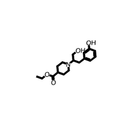 CCOC(=O)C1CCN(C(CO)Cc2cccc(O)c2)CC1